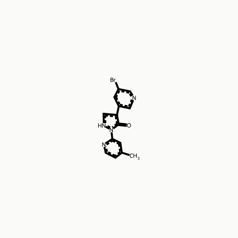 Cc1ccnc(-n2[nH]cc(-c3cncc(Br)c3)c2=O)c1